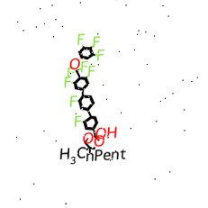 CCCCCC1(C)COC(O)(c2ccc(-c3ccc(-c4cc(F)c(C(F)(F)Oc5cc(F)c(F)c(F)c5)c(F)c4)c(F)c3)c(F)c2)OC1